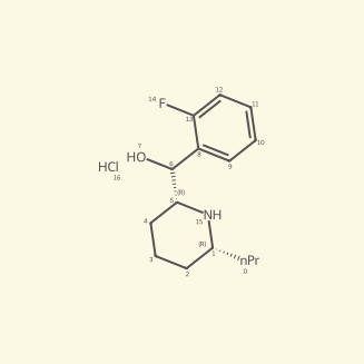 CCC[C@@H]1CCC[C@H](C(O)c2ccccc2F)N1.Cl